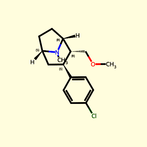 COC[C@@H]1[C@@H](c2ccc(Cl)cc2)C[C@@H]2CC[C@H]1N2C